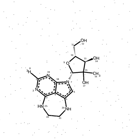 [3H]c1nc2c3c(cn([C@@H]4O[C@H](CO)[C@@H](O)C4(C)O)c3n1)NCCN2